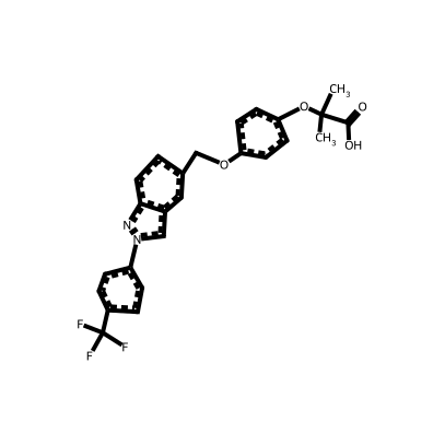 CC(C)(Oc1ccc(OCc2ccc3nn(-c4ccc(C(F)(F)F)cc4)cc3c2)cc1)C(=O)O